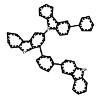 c1ccc(-c2ccc3c(c2)c2ccccc2n3-c2cc(-c3cccc(-c4ccc5[nH]c6ccccc6c5c4)c3)c3oc4ccccc4c3c2)cc1